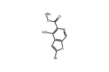 CCCCOC(=O)c1ncc2sc(Br)cc2c1O